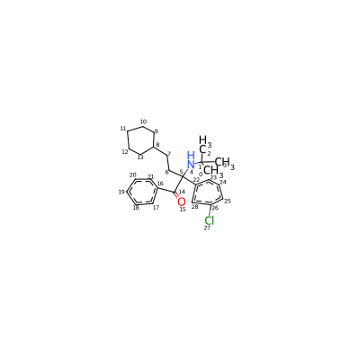 CC(C)(C)NC(CCC1CCCCC1)(C(=O)c1ccccc1)c1cccc(Cl)c1